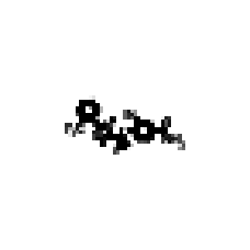 Cn1c(-c2ccccc2C(F)(F)F)nnc1C1(Oc2ccc(C(N)=O)cc2Br)CC1